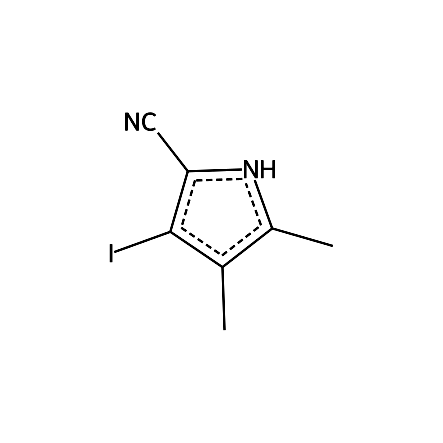 Cc1[nH]c(C#N)c(I)c1C